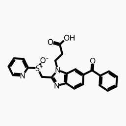 O=C(O)CCn1c(C[S+]([O-])c2ccccn2)nc2ccc(C(=O)c3ccccc3)cc21